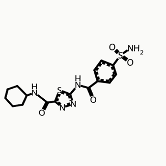 NS(=O)(=O)c1ccc(C(=O)Nc2nnc(C(=O)NC3CCCCC3)s2)cc1